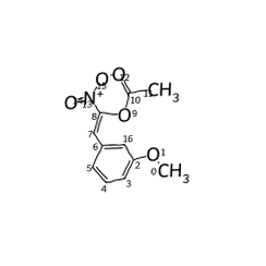 COc1cccc(C=C(OC(C)=O)[N+](=O)[O-])c1